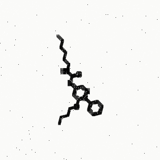 CCCCCCNC(=O)N=c1cnn(-c2ccccc2)c(OCCCC)c1